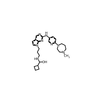 CN1CCCN(c2ccc(Nc3ncc4ccn(CCCNC(O)C5CCC5)c4n3)cn2)CC1